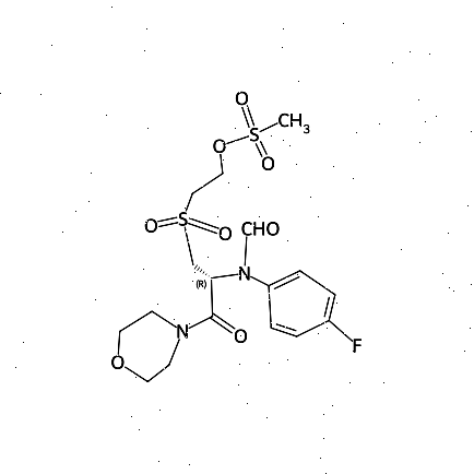 CS(=O)(=O)OCCS(=O)(=O)C[C@@H](C(=O)N1CCOCC1)N(C=O)c1ccc(F)cc1